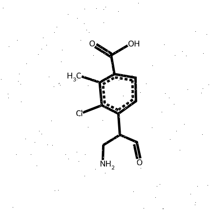 Cc1c(C(=O)O)ccc(C(C=O)CN)c1Cl